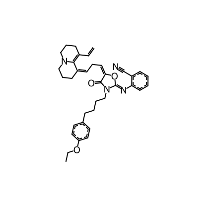 C=CC1=C2/C(=C\C/C=C3/O/C(=N\c4ccccc4C#N)N(CCCCc4ccc(OCC)cc4)C3=O)CCCN2CCC1